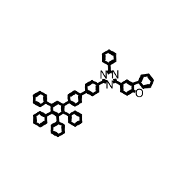 c1ccc(-c2nc(-c3ccc(-c4ccc(-c5cc(-c6ccccc6)c(-c6ccccc6)c(-c6ccccc6)c5-c5ccccc5)cc4)cc3)nc(-c3ccc4oc5ccccc5c4c3)n2)cc1